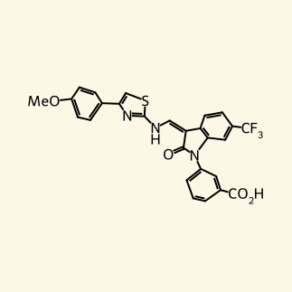 COc1ccc(-c2csc(NC=C3C(=O)N(c4cccc(C(=O)O)c4)c4cc(C(F)(F)F)ccc43)n2)cc1